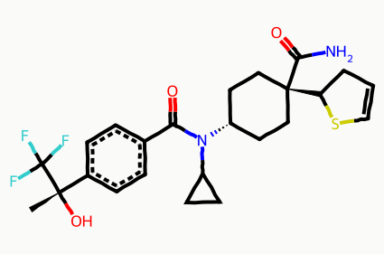 C[C@](O)(c1ccc(C(=O)N(C2CC2)[C@H]2CC[C@](C(N)=O)(C3CC=CS3)CC2)cc1)C(F)(F)F